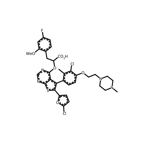 COc1cc(F)ccc1CC(Oc1ncnc2sc(-c3ccc(Cl)o3)c(-c3ccc(OCCN4CCN(C)CC4)c(Cl)c3C)c12)C(=O)O